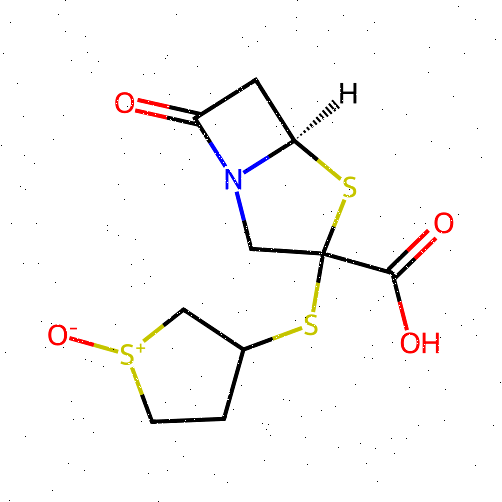 O=C1C[C@H]2SC(SC3CC[S+]([O-])C3)(C(=O)O)CN12